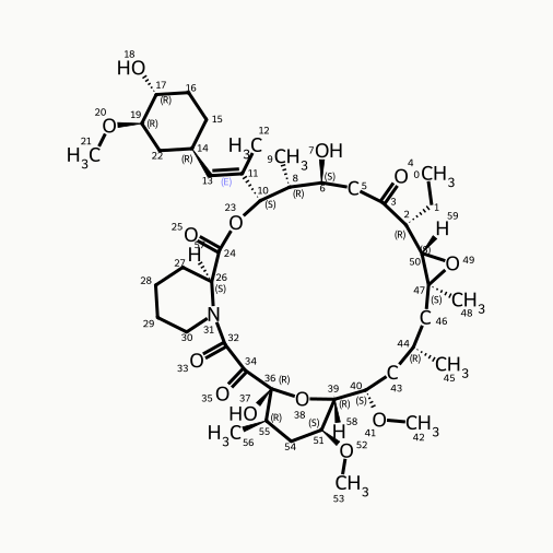 CC[C@H]1C(=O)C[C@H](O)[C@@H](C)[C@@H](/C(C)=C/[C@@H]2CC[C@@H](O)[C@H](OC)C2)OC(=O)[C@@H]2CCCCN2C(=O)C(=O)[C@]2(O)O[C@H]([C@@H](OC)C[C@@H](C)C[C@]3(C)O[C@@H]13)[C@@H](OC)C[C@H]2C